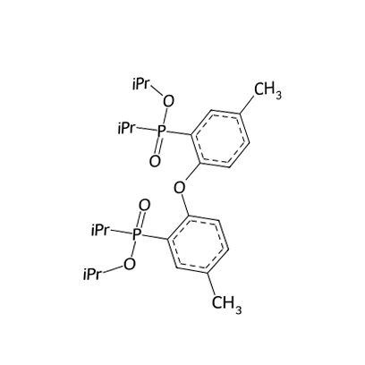 Cc1ccc(Oc2ccc(C)cc2P(=O)(OC(C)C)C(C)C)c(P(=O)(OC(C)C)C(C)C)c1